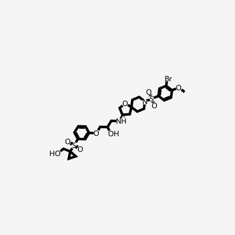 COc1ccc(S(=O)(=O)N2CCC3(CC2)C[C@@H](NCC(O)COc2cccc(S(=O)(=O)C4(CO)CC4)c2)CO3)cc1Br